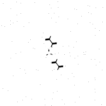 OC(=S)C(O)=S.OC(=S)C(O)=S.[Li+].[O-]B(O)O